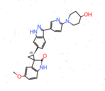 COc1ccc2c(c1)C1(C[C@H]1c1ccc3c(-c4ccc(N5CCC(O)CC5)nc4)n[nH]c3c1)C(=O)N2